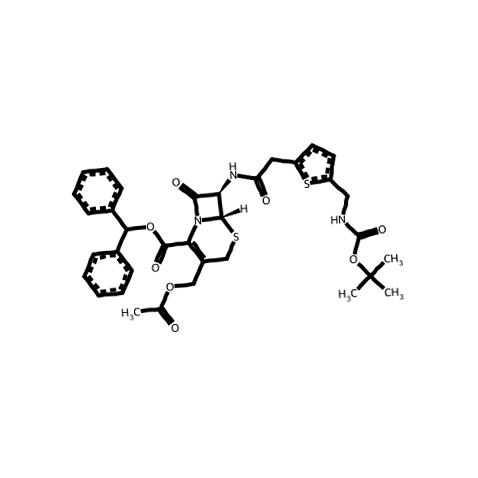 CC(=O)OCC1=C(C(=O)OC(c2ccccc2)c2ccccc2)N2C(=O)[C@@H](NC(=O)Cc3ccc(CNC(=O)OC(C)(C)C)s3)[C@@H]2SC1